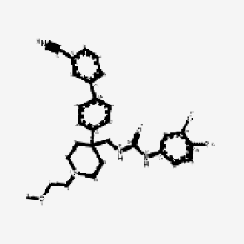 COCCN1CCC(CNC(=O)Nc2ccc(F)c(Cl)c2)(c2ccc(-c3cccc(C#N)c3)cc2)CC1